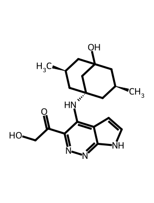 C[C@@H]1CC2(O)C[C@H](C)C[C@](Nc3c(C(=O)CO)nnc4[nH]ccc34)(C1)C2